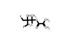 C=C(C)C(=O)OC(C)(C)C(O)(CF)CF